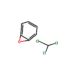 ClC(Cl)Cl.c1ccc2c(c1)O2